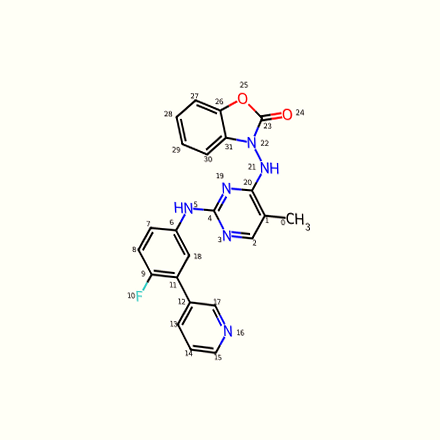 Cc1cnc(Nc2ccc(F)c(-c3cccnc3)c2)nc1Nn1c(=O)oc2ccccc21